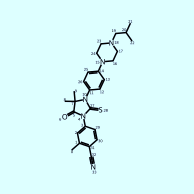 Cc1cc(N2C(=O)C(C)(C)N(c3ccc(N4CCN(CC(C)C)CC4)cc3)C2=S)ccc1C#N